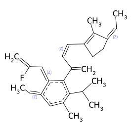 C=C(F)/C=c1/c(C(=C)/C=C\C2=C(C)C(=C\C)/CC2)c(C(C)C)c(C)c/c1=C/C